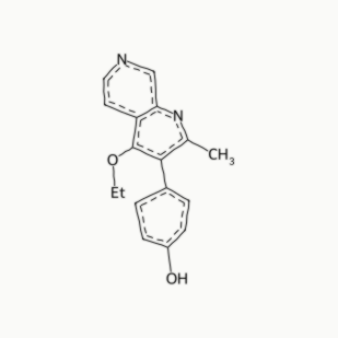 CCOc1c(-c2ccc(O)cc2)c(C)nc2cnccc12